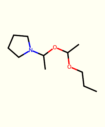 CCCOC(C)OC(C)N1CCCC1